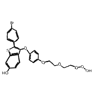 OOOCCOCCOc1ccc(Oc2c(-c3ccc(Br)cc3)sc3cc(O)ccc23)cc1